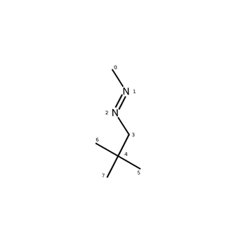 CN=NCC(C)(C)C